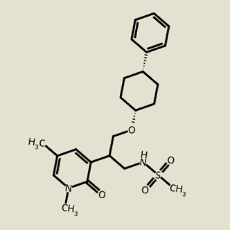 Cc1cc(C(CNS(C)(=O)=O)CO[C@H]2CC[C@@H](c3ccccc3)CC2)c(=O)n(C)c1